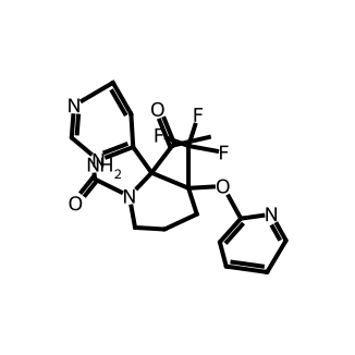 CC(=O)C1(c2ccncn2)N(C(N)=O)CCCC1(Oc1ccccn1)C(F)(F)F